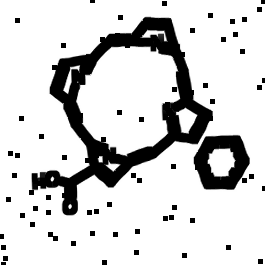 O=C(O)C1=CC2=CC3=NC(=CC4=NC(=CC5=NC(=CC1=N2)C=C5)C=C4)C=C3.c1ccccc1